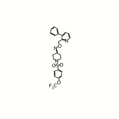 O=S(=O)(c1ccc(OC(F)(F)F)cc1)N1CCC(=NOCc2ncccc2-c2ccccc2)CC1